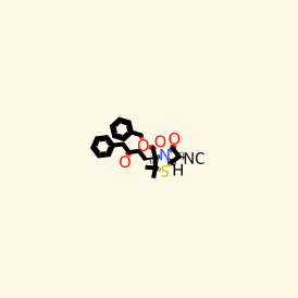 [C-]#[N+][C@H]1C(=O)N2[C@@H]1SC(C)(C)[C@]2(CCC(=O)Cc1ccccc1)C(=O)OCc1ccccc1